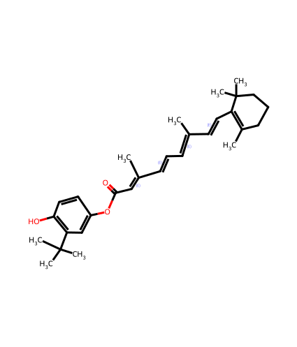 CC1=C(/C=C/C(C)=C/C=C/C(C)=C/C(=O)Oc2ccc(O)c(C(C)(C)C)c2)C(C)(C)CCC1